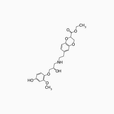 CCOC(=O)C1COc2cc(CCNC[C@@H](O)COc3ccc(O)cc3OC)ccc2O1